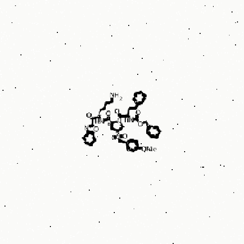 COc1ccc(CS(=O)(=O)[C@@H]2C[C@@H](C(=O)N[C@@H](CCCCN)C(=O)c3nc4ccccc4o3)N(C(=O)[C@@H](CCc3ccccc3)NC(=O)OCc3ccccc3)C2)cc1